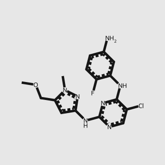 COCc1cc(Nc2ncc(Cl)c(Nc3cc(N)ccc3F)n2)nn1C